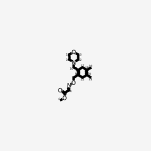 COC(=O)C=NOCC1=C(CN2CCOCC2)CC(C)=C(C)C1